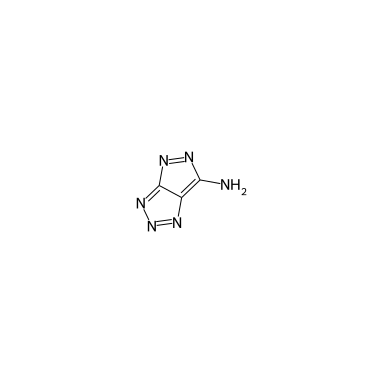 NC1=C2N=NN=C2N=N1